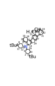 CC(C)(C)c1ccc(N(c2ccc(C(C)(C)C)cc2)c2cc3c(c4ccccc24)-c2cc4c(cc2C3)-c2ccccc2C4(C)C)cc1